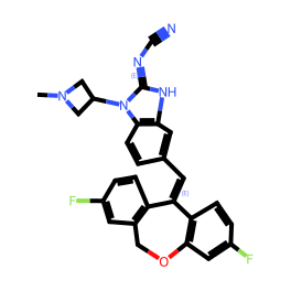 CN1CC(n2/c(=N/C#N)[nH]c3cc(/C=C4\c5ccc(F)cc5COc5cc(F)ccc54)ccc32)C1